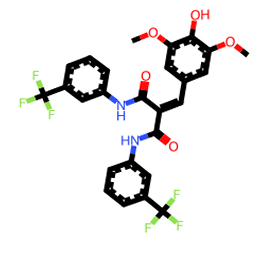 COc1cc(C=C(C(=O)Nc2cccc(C(F)(F)F)c2)C(=O)Nc2cccc(C(F)(F)F)c2)cc(OC)c1O